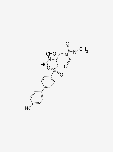 CN1CC(=O)N(CC(CS(=O)(=O)c2ccc(-c3ccc(C#N)cc3)cc2)N(O)C=O)C1=O